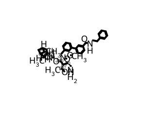 COc1c(CN2O[C@@H](CN)[C@@H]([C@H](C)O)[C@H]2OCN[C@H]2C[C@H]3C[C@@H]([C@@H]2C)C3(C)C)cccc1-c1cccc(C(=O)NCCc2ccccc2)c1